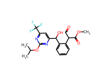 COC(=O)C(C=O)c1ccccc1C(O)c1cc(C(F)(F)F)nc(OC(C)C)n1